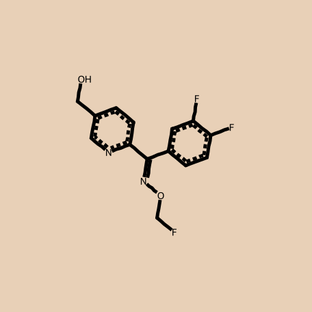 OCc1ccc(/C(=N/OCF)c2ccc(F)c(F)c2)nc1